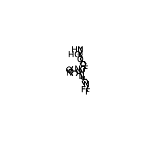 CNC[C@@H](O)COc1ccc(F)c(-c2nc(-c3c(C)noc3C)c(C)c(N3CC4(CCN(CC(F)F)CC4)C3)n2)c1